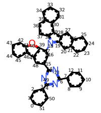 c1ccc(-c2nc(-c3ccccc3)nc(-c3cc(-n4c5cc6ccccc6cc5c5c6ccccc6ccc54)c4oc5ccccc5c4c3)n2)cc1